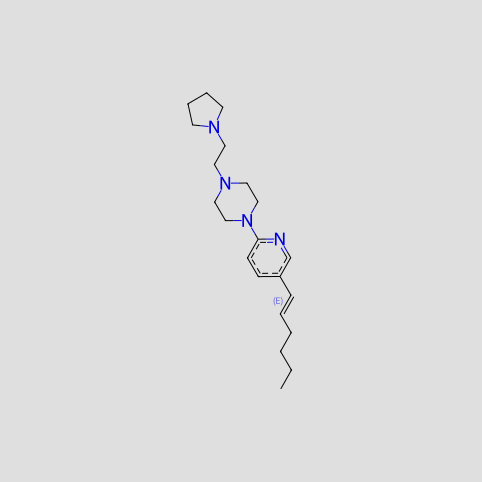 CCCC/C=C/c1ccc(N2CCN(CCN3CCCC3)CC2)nc1